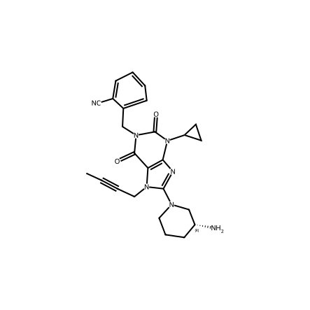 CC#CCn1c(N2CCC[C@@H](N)C2)nc2c1c(=O)n(Cc1ccccc1C#N)c(=O)n2C1CC1